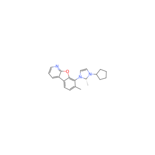 Cc1ccc2c(oc3ncccc32)c1N1C=CN(C2CCCC2)[C@@H]1C